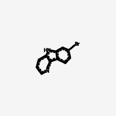 Brc1ccc2c(c1)[nH]c1cccnc12